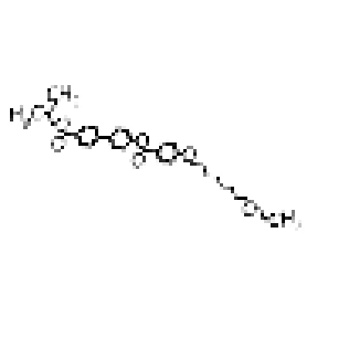 C=CCOCCCCCCCCOc1ccc(C(=O)Oc2ccc(-c3ccc(C(=O)OCC(C)CC)cc3)cc2)cc1